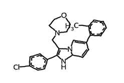 Cc1ccccc1C1=CN2C(CN3CCOCC3)=C(c3ccc(Cl)cc3)NC2C=C1